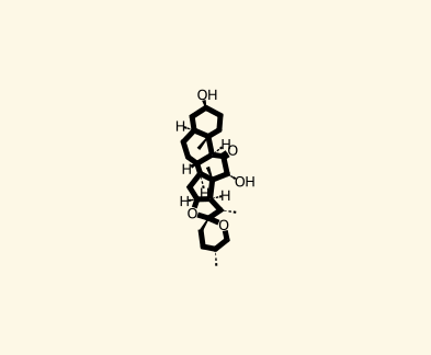 C[C@@H]1CC[C@@]2(OC1)O[C@H]1C[C@H]3[C@@H]4CC[C@H]5C[C@@H](O)CC[C@]5(C)[C@H]4C(=O)[C@H](O)[C@]3(C)[C@H]1[C@@H]2C